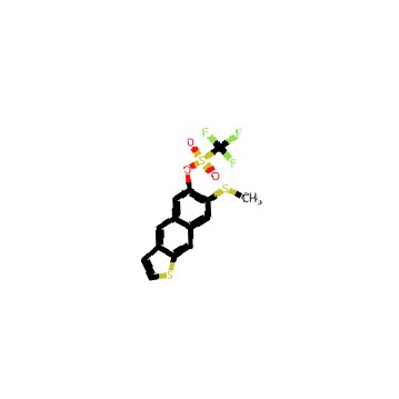 CSc1cc2cc3sccc3cc2cc1OS(=O)(=O)C(F)(F)F